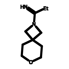 CCC(=N)N1CC2(CCOCC2)C1